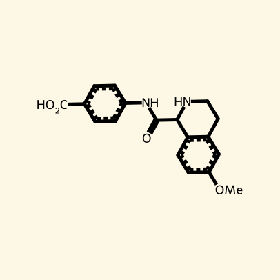 COc1ccc2c(c1)CCNC2C(=O)Nc1ccc(C(=O)O)cc1